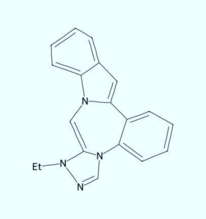 CCN1N=CN2C1=Cn1c(cc3ccccc31)-c1ccccc12